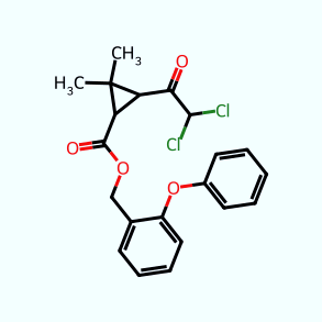 CC1(C)C(C(=O)OCc2ccccc2Oc2ccccc2)C1C(=O)C(Cl)Cl